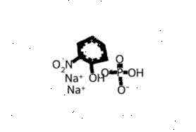 O=P([O-])([O-])O.O=[N+]([O-])c1ccccc1O.[Na+].[Na+]